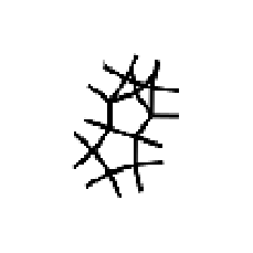 CC1(C)C(C)(C)C2(C)C3(C)C(C)(C)C(C)(I)C(C)(C3(C)C)C2(C)C1(C)C